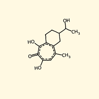 Cc1cc(O)c(=O)c(O)c2c1CC(C(C)O)CC2